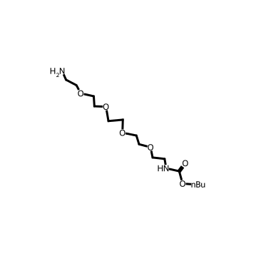 CCCCOC(=O)NCCOCCOCCOCCOCCN